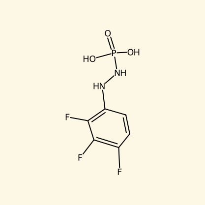 O=P(O)(O)NNc1ccc(F)c(F)c1F